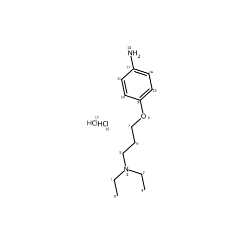 CCN(CC)CCCOc1ccc(N)cc1.Cl.Cl